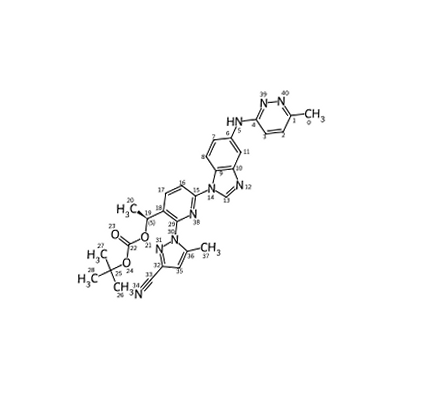 Cc1ccc(Nc2ccc3c(c2)ncn3-c2ccc([C@H](C)OC(=O)OC(C)(C)C)c(-n3nc(C#N)cc3C)n2)nn1